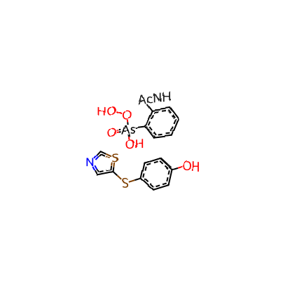 CC(=O)Nc1ccccc1[As](=O)(O)OO.Oc1ccc(Sc2cncs2)cc1